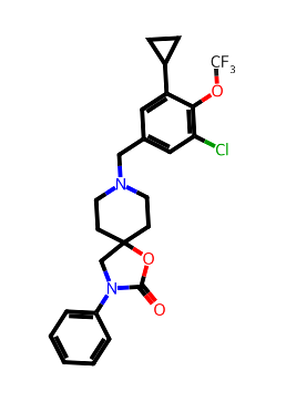 O=C1OC2(CCN(Cc3cc(Cl)c(OC(F)(F)F)c(C4CC4)c3)CC2)CN1c1ccccc1